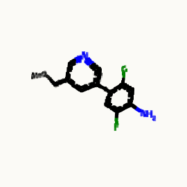 COCc1cncc(-c2cc(F)c(N)cc2Cl)c1